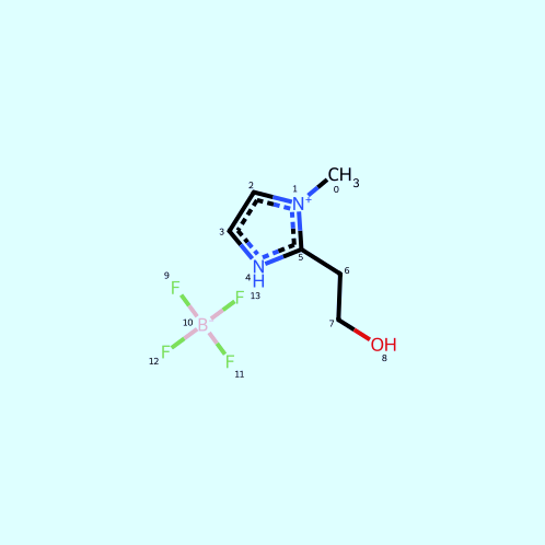 C[n+]1cc[nH]c1CCO.F[B-](F)(F)F